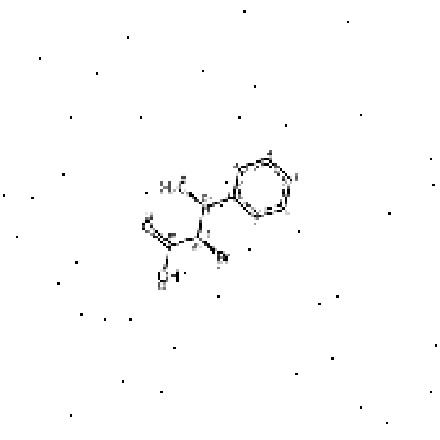 C[C@@H](c1ccccc1)[C@@H](Br)C(=O)O